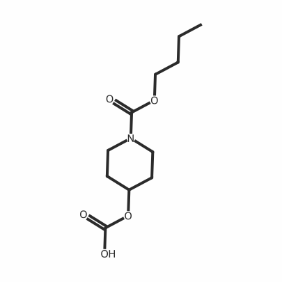 CCCCOC(=O)N1CCC(OC(=O)O)CC1